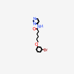 O=C(CCCCCOc1cccc(Br)c1)Nc1ccncn1